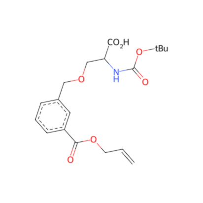 C=CCOC(=O)c1cccc(COCC(NC(=O)OC(C)(C)C)C(=O)O)c1